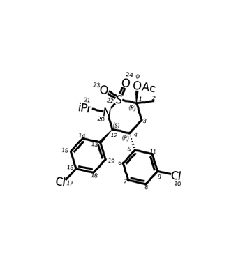 CC(=O)O[C@@]1(C)C[C@H](c2cccc(Cl)c2)[C@@H](c2ccc(Cl)cc2)N(C(C)C)S1(=O)=O